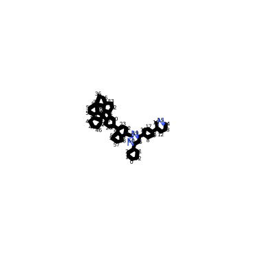 c1ccc(-c2cc(-c3ccc(-c4cccnc4)cc3)nc(-c3ccc(-c4ccc5c(c4)-c4ccc6ccccc6c4C5(c4ccccc4)c4ccccc4)c4ccccc34)n2)cc1